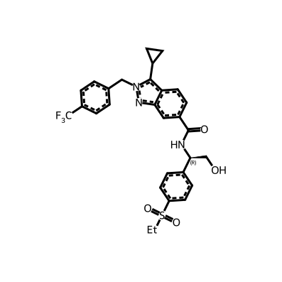 CCS(=O)(=O)c1ccc([C@H](CO)NC(=O)c2ccc3c(C4CC4)n(Cc4ccc(C(F)(F)F)cc4)nc3c2)cc1